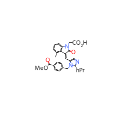 CCCc1ncc(C=C2C(=O)N(CC(=O)O)c3cccc(C)c32)n1Cc1ccc(C(=O)OC)cc1